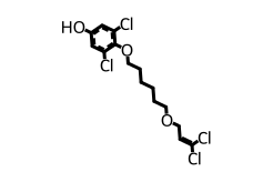 Oc1cc(Cl)c(OCCCCCCOCC=C(Cl)Cl)c(Cl)c1